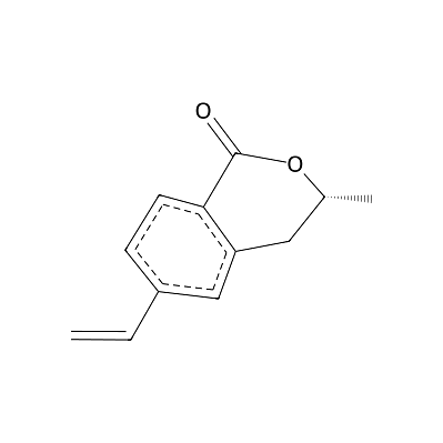 C=Cc1ccc2c(c1)C[C@@H](C)OC2=O